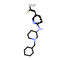 O=C(O)/C(F)=C/c1ccc(N[C@@H]2CCCN(CC3CCCCC3)C2)nc1